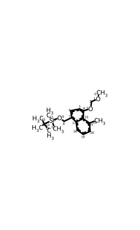 COCOc1ccc(CO[Si](C)(C)C(C)(C)C)c2cccc(C)c12